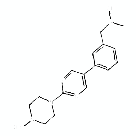 CN(C=O)Cc1cccc(-c2cnc(N3CCN(C=O)CC3)nc2)c1